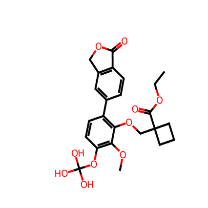 CCOC(=O)C1(COc2c(-c3ccc4c(c3)COC4=O)ccc(OC(O)(O)O)c2OC)CCC1